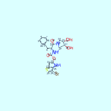 O=C(N[C@@H](Cc1ccccc1)C(=O)N1C[C@@H](O)[C@@H](O)C1)Oc1cc2scc(Br)c2[nH]1